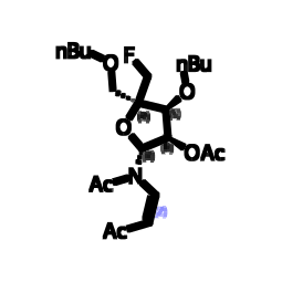 CCCCOC[C@@]1(CF)O[C@@H](N(/C=C\C(C)=O)C(C)=O)[C@H](OC(C)=O)[C@@H]1OCCCC